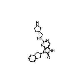 O=c1[nH]c2cnc(NC[C@H]3CCNC3)nc2n1C1Cc2ccccc2C1